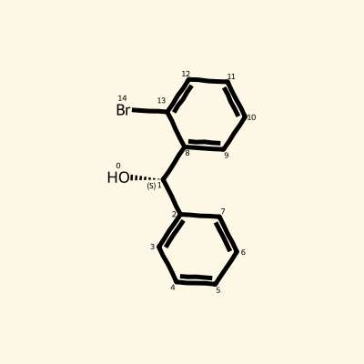 O[C@@H](c1ccccc1)c1ccccc1Br